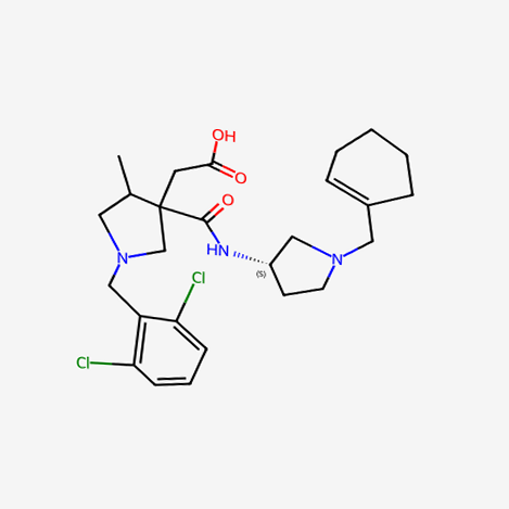 CC1CN(Cc2c(Cl)cccc2Cl)CC1(CC(=O)O)C(=O)N[C@H]1CCN(CC2=CCCCC2)C1